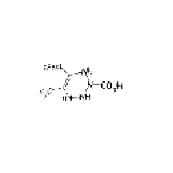 CCCCCc1[nH]n(C(=O)O)[nH][nH]c1C(F)(F)F